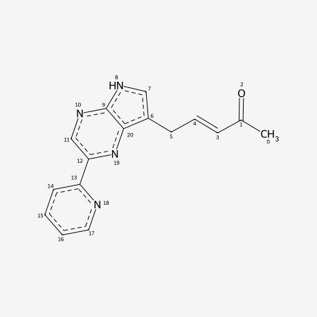 CC(=O)C=CCc1c[nH]c2ncc(-c3ccccn3)nc12